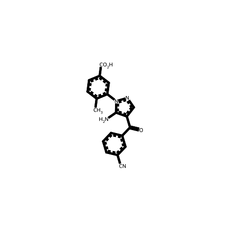 Cc1ccc(C(=O)O)cc1-n1ncc(C(=O)c2cccc(C#N)c2)c1N